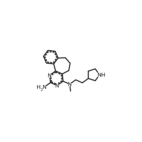 CN(CCC1CCNC1)c1nc(N)nc2c1CCCc1ccccc1-2